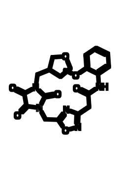 COc1ccccc1NC(=O)Cc1noc(CN2C(=O)C(=O)N(CC3CCOC3)C2=O)n1